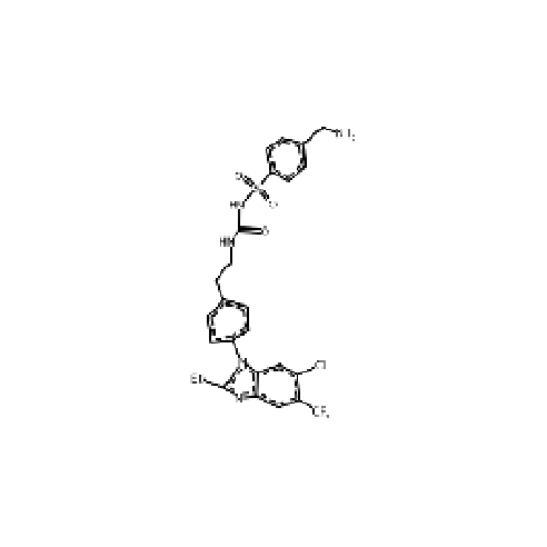 CCc1nc2cc(C(F)(F)F)c(Cl)cc2n1-c1ccc(CCNC(=O)NS(=O)(=O)c2ccc(CN)cc2)cc1